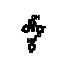 Cc1cc(OCCNc2ccncc2)cc(N(CC(=O)O)S(=O)(=O)c2ccccc2)c1